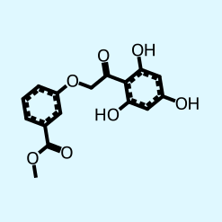 COC(=O)c1cccc(OCC(=O)c2c(O)cc(O)cc2O)c1